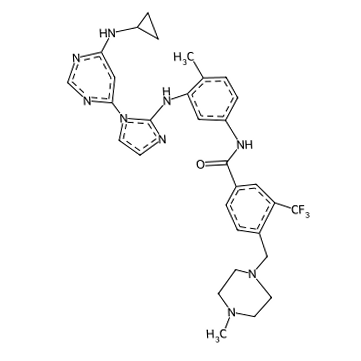 Cc1ccc(NC(=O)c2ccc(CN3CCN(C)CC3)c(C(F)(F)F)c2)cc1Nc1nccn1-c1cc(NC2CC2)ncn1